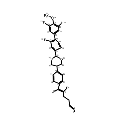 C/C=C/CC/C(F)=C(\F)c1ccc(C2COC(c3ccc(-c4cc(F)c(OC(F)(F)F)c(F)c4)c(F)c3)OC2)cc1